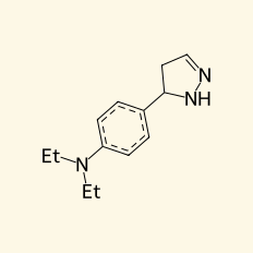 CCN(CC)c1ccc(C2CC=NN2)cc1